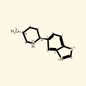 C[C@@H]1CC[C@@H](c2ccc3scnc3c2)NC1